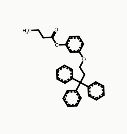 CCCC(=O)Oc1cccc(OCCC(c2ccccc2)(c2ccccc2)c2ccccc2)c1